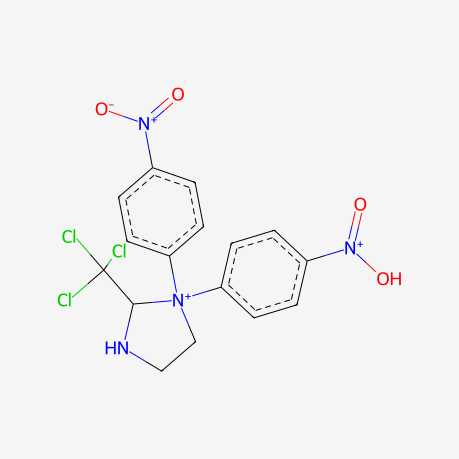 O=[N+]([O-])c1ccc([N+]2(c3ccc([N+](=O)O)cc3)CCNC2C(Cl)(Cl)Cl)cc1